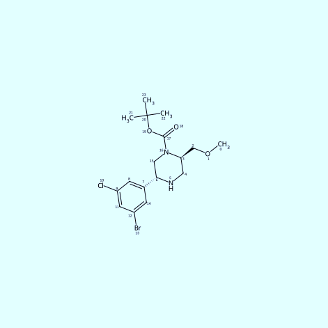 COC[C@H]1CN[C@H](c2cc(Cl)cc(Br)c2)CN1C(=O)OC(C)(C)C